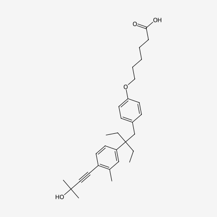 CCC(CC)(Cc1ccc(OCCCCCC(=O)O)cc1)c1ccc(C#CC(C)(C)O)c(C)c1